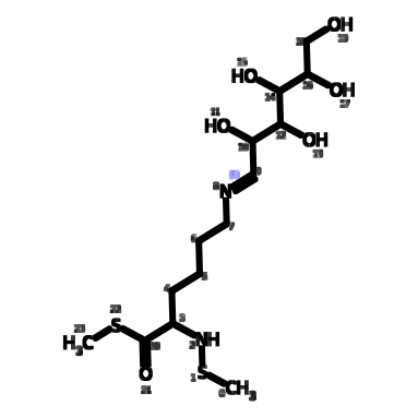 CSNC(CCCC/N=C/C(O)C(O)C(O)C(O)CO)C(=O)SC